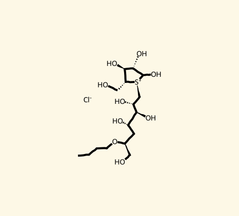 CCCCO[C@H](CO)C[C@H](O)[C@H](O)[C@H](O)C[S@+]1C(O)[C@@H](O)[C@H](O)[C@H]1CO.[Cl-]